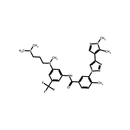 Cc1ccc(C(=O)Nc2cc(N(C)CCCN(C)C)cc(C(F)(F)F)c2)cc1-n1cc(-c2cnn(C)c2C)nn1